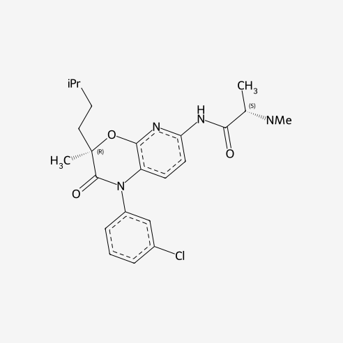 CN[C@@H](C)C(=O)Nc1ccc2c(n1)O[C@](C)(CCC(C)C)C(=O)N2c1cccc(Cl)c1